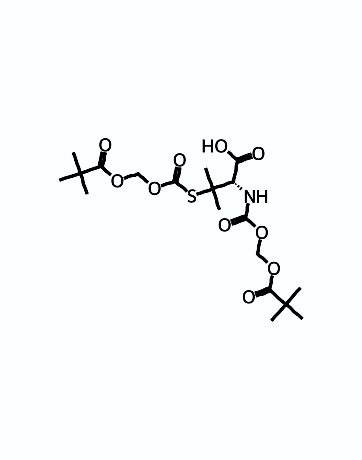 CC(C)(C)C(=O)OCOC(=O)N[C@@H](C(=O)O)C(C)(C)SC(=O)OCOC(=O)C(C)(C)C